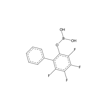 OB(O)Oc1c(F)c(F)c(F)c(F)c1-c1ccccc1